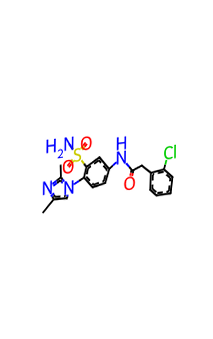 Cc1cn(-c2ccc(NC(=O)Cc3ccccc3Cl)cc2S(N)(=O)=O)c(C)n1